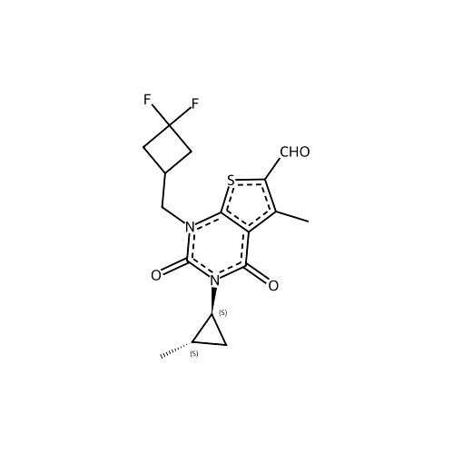 Cc1c(C=O)sc2c1c(=O)n([C@H]1C[C@@H]1C)c(=O)n2CC1CC(F)(F)C1